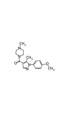 COc1ccc(-n2ncc(C(=O)N3CCN(C)CC3)c2C)cc1